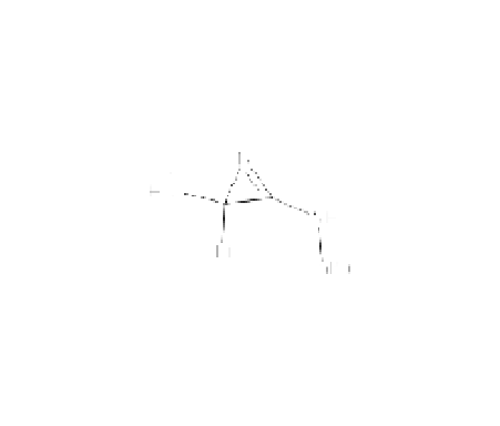 CCCCNC1=NC1(C)CC